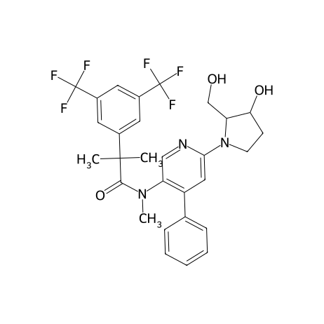 CN(C(=O)C(C)(C)c1cc(C(F)(F)F)cc(C(F)(F)F)c1)c1cnc(N2CCC(O)C2CO)cc1-c1ccccc1